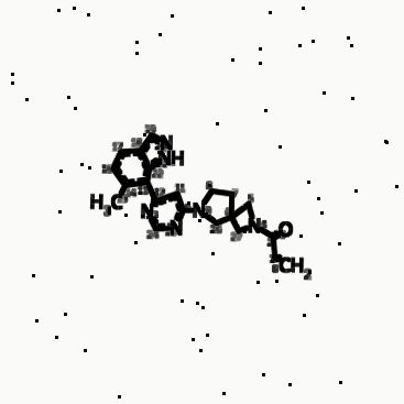 C=CC(=O)N1CC2(CCN(c3cc(-c4c(C)ccc5cn[nH]c45)ncn3)C2)C1